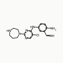 N=Cc1cc(Nc2nc(N3CCCNCC3)ncc2Cl)ccc1N